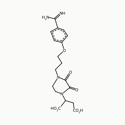 N=C(N)c1ccc(OCCCN2CCN(C(CC(=O)O)C(=O)O)C(=O)C2=O)cc1